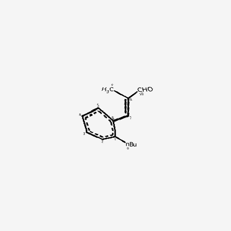 CCCCc1ccccc1C=C(C)C=O